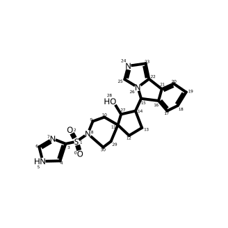 O=S(=O)(c1c[nH]cn1)N1CCC2(CCC(C3c4ccccc4-c4cncn43)C2O)CC1